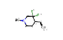 C=CC1CCN(C(C)C)CC1(F)F